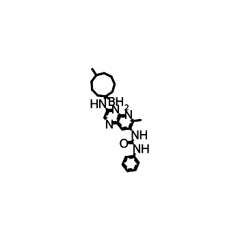 BC1(Nc2cnc3cc(NC(=O)Nc4ccccc4)c(C)nc3n2)CCCCC(C)CCC1